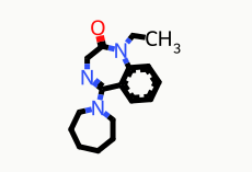 CCN1C(=O)CN=C(N2CCCCCC2)c2ccccc21